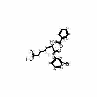 O=C(O)CCCCC(NC(=O)c1ccccc1)C(=O)Nc1cccc(Br)c1